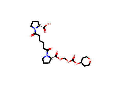 O=C(OCOC(=O)[C@H]1CCCN1C(=O)CCCCC(=O)N1CCC[C@@H]1C(=O)O)OC1CCOCC1